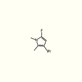 Cc1c(C(C)C)cc(F)n1C